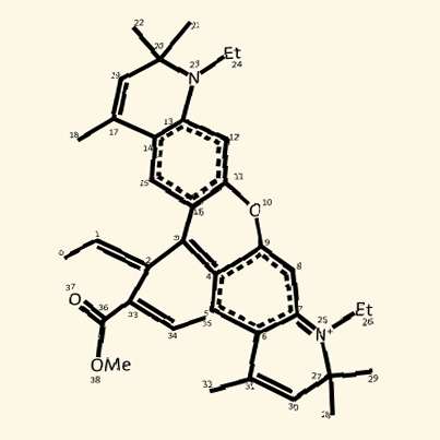 C/C=C(C1=c2cc3c(cc2Oc2cc4c(cc21)C(C)=CC(C)(C)N4CC)=[N+](CC)C(C)(C)C=C3C)\C(=C/C)C(=O)OC